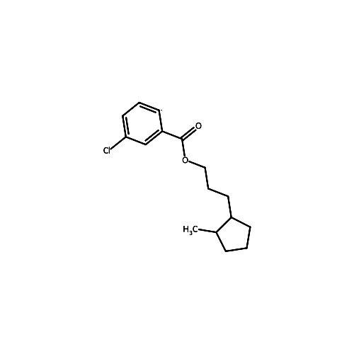 CC1CCCC1CCCOC(=O)c1[c]ccc(Cl)c1